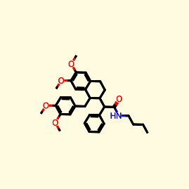 CCCCNC(=O)C(c1ccccc1)C1CCc2cc(OC)c(OC)cc2C1Cc1ccc(OC)c(OC)c1